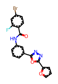 O=C(Nc1cccc(-c2nnc(-c3ccco3)o2)c1)c1ccc(Br)cc1F